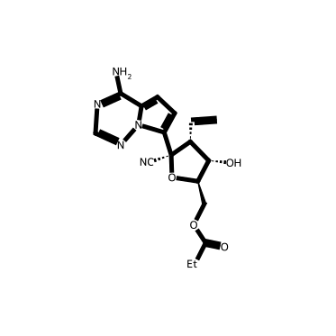 C=C[C@@H]1[C@H](O)[C@@H](COC(=O)CC)O[C@@]1(C#N)c1ccc2c(N)ncnn12